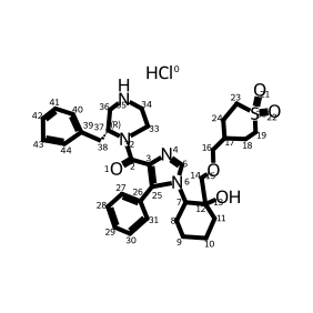 Cl.O=C(c1ncn(C2CCCCC2(O)COCC2CCS(=O)(=O)CC2)c1-c1ccccc1)N1CCNC[C@H]1Cc1ccccc1